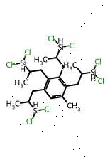 Cc1cc(CC(C)[SiH](Cl)Cl)c(CC(C)[SiH](Cl)Cl)c(CC(C)[SiH](Cl)Cl)c1CC(C)[SiH](Cl)Cl